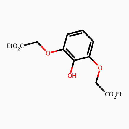 CCOC(=O)COc1cccc(OCC(=O)OCC)c1O